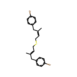 CC(=CCSCC=C(C)Cc1ccc(Br)cc1)Cc1ccc(Br)cc1